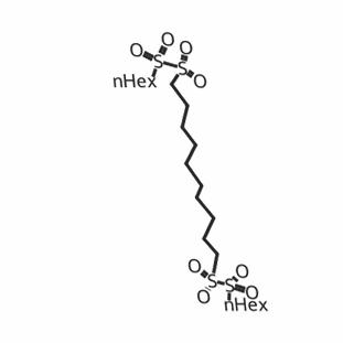 CCCCCCS(=O)(=O)S(=O)(=O)CCCCCCCCCCS(=O)(=O)S(=O)(=O)CCCCCC